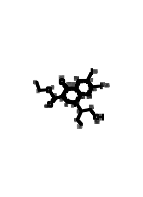 CCOC(=O)c1cn(C(CC)CO)c2cc(F)c(I)cc2c1=O